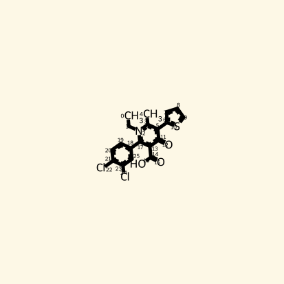 CCn1c(C)c(-c2cccs2)c(=O)c(C(=O)O)c1-c1ccc(Cl)c(Cl)c1